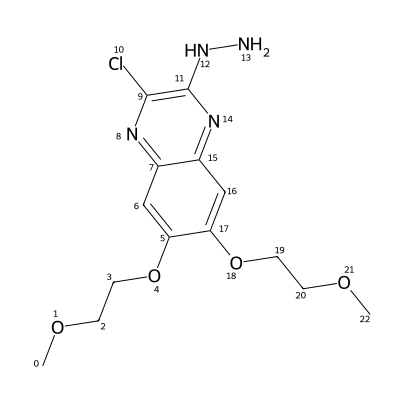 COCCOc1cc2nc(Cl)c(NN)nc2cc1OCCOC